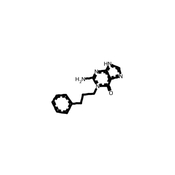 Nc1nc2[nH]cnc2c(=O)n1CCCc1ccccc1